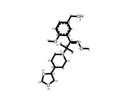 CON=C(c1cc(CO)ccc1OC)C(C)(C)N1CCC(C2COCO2)CC1